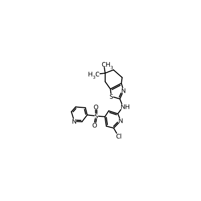 CC1(C)CCc2nc(Nc3cc(S(=O)(=O)c4cccnc4)cc(Cl)n3)sc2C1